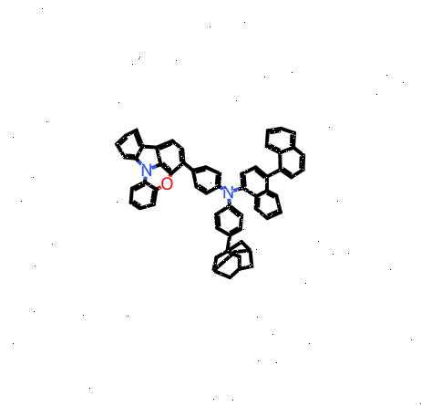 c1ccc2c(c1)Oc1c(-c3ccc(N(c4ccc(C56CC7CC(CC(C7)C5)C6)cc4)c4ccc(-c5cccc6ccccc56)c5ccccc45)cc3)ccc3c4ccccc4n-2c13